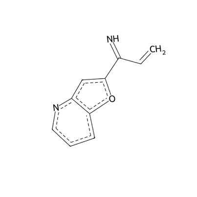 C=CC(=N)c1cc2ncccc2o1